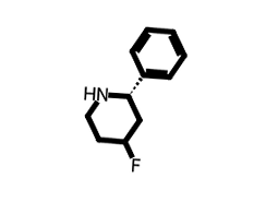 FC1CCN[C@H](c2ccccc2)C1